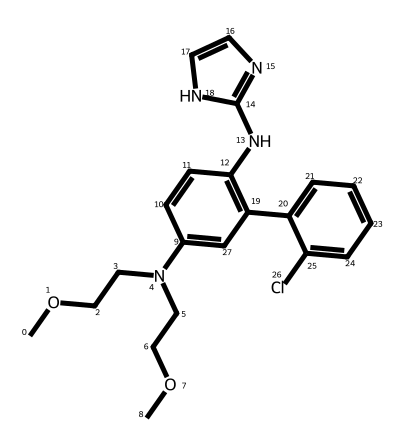 COCCN(CCOC)c1ccc(Nc2ncc[nH]2)c(-c2ccccc2Cl)c1